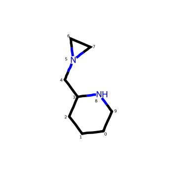 C1CCC(CN2CC2)NC1